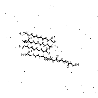 CCCCCCCCC(S)S.CCCCCCCCCC(S)S.CCCCCCCCCCC(S)S.CCCCCCCCCCCC(S)S.O=C(CCS)OCCOC(=O)CCS